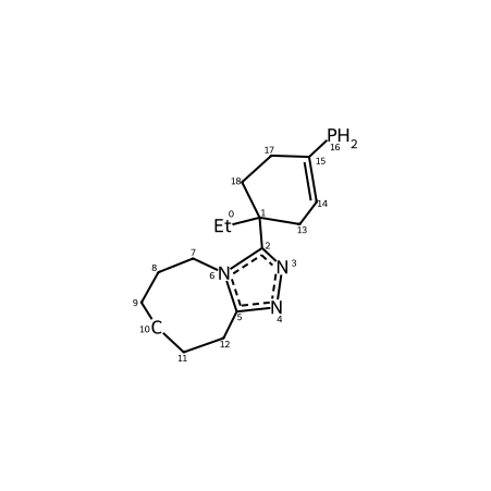 CCC1(c2nnc3n2CCCCCC3)CC=C(P)CC1